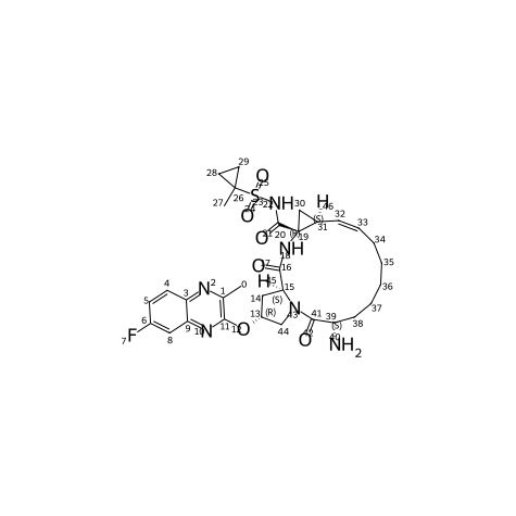 Cc1nc2ccc(F)cc2nc1O[C@@H]1C[C@H]2C(=O)N[C@]3(C(=O)NS(=O)(=O)C4(C)CC4)C[C@H]3C=CCCCCC[C@H](N)C(=O)N2C1